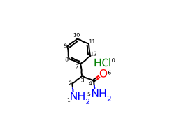 Cl.NCC(C(N)=O)c1ccccc1